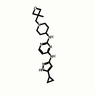 CC1(CN2CCC(Nc3nccc(Nc4cc(C5CC5)[nH]n4)n3)CC2)COC1